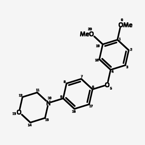 COc1ccc(Oc2ccc(N3CCOCC3)cc2)cc1OC